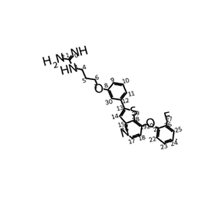 N=C(N)NCCCOc1cccc(-c2cc3nccc(Oc4cc[c]cc4F)c3s2)c1